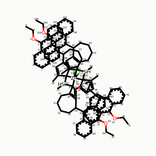 CCOc1c2ccccc2c(C2CCCCC3=C2C=C(C)[C]32[SiH](C)[C]3(C(C)=CC4=C3CCCCC4c3c4ccccc4c(OCC)c4ccccc34)[Zr]23([Cl])([Cl])[C]2(C(C)=CC4=C2CCCCC4c2c4ccccc4c(OCC)c4ccccc24)[SiH](C)[C]32C(C)=CC3=C2CCCCC3c2c3ccccc3c(OCC)c3ccccc23)c2ccccc12